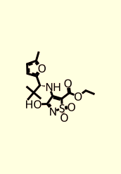 CCOC(=O)C1=C(N[C@@H](c2ccc(C)o2)C(C)(C)C)C(O)=NS1(=O)=O